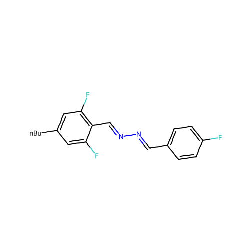 CCCCc1cc(F)c(C=NN=Cc2ccc(F)cc2)c(F)c1